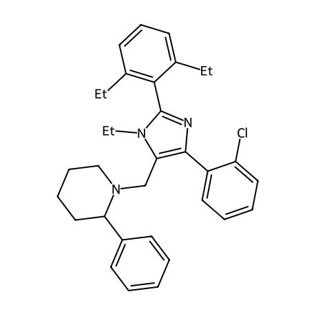 CCc1cccc(CC)c1-c1nc(-c2ccccc2Cl)c(CN2CCCCC2c2ccccc2)n1CC